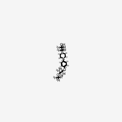 [2H]C([2H])([2H])OC([2H])([2H])C([2H])([2H])Oc1ccc(N2CCN(C([2H])([2H])C([2H])([2H])O)CC2)cc1